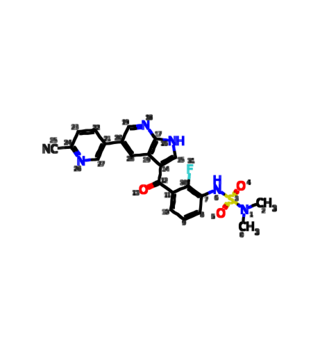 CN(C)S(=O)(=O)Nc1cccc(C(=O)c2c[nH]c3ncc(-c4ccc(C#N)nc4)cc23)c1F